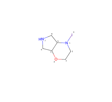 IN1CCOC2CNCC21